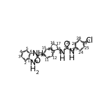 Nc1ccccc1NC(=O)c1ccc2c(c1)CCC2NC(=O)Nc1ccc(Cl)cc1